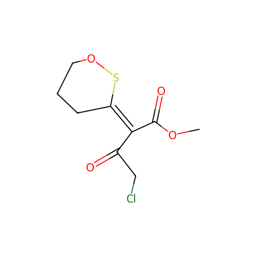 COC(=O)C(C(=O)CCl)=C1CCCOS1